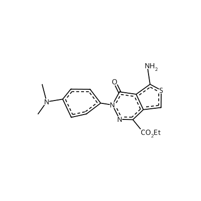 CCOC(=O)c1nn(-c2ccc(N(C)C)cc2)c(=O)c2c(N)scc12